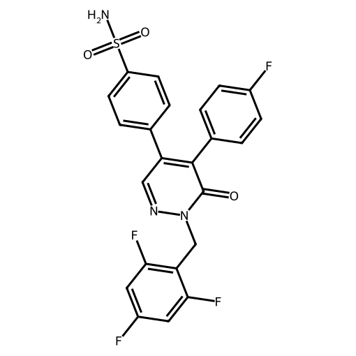 NS(=O)(=O)c1ccc(-c2cnn(Cc3c(F)cc(F)cc3F)c(=O)c2-c2ccc(F)cc2)cc1